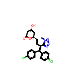 Cn1nnnc1C(C=C[C@@H]1C[C@@H](O)CC(=O)O1)=C(c1ccc(Cl)cc1)c1ccc(Cl)cc1